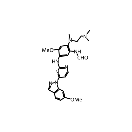 COc1ccc2cnn(-c3ccnc(Nc4cc(NC=O)c(N(C)CCN(C)C)cc4OC)n3)c2c1